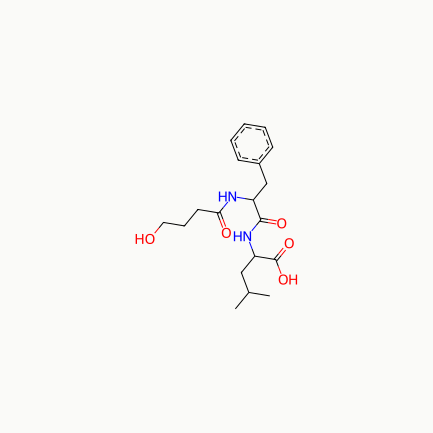 CC(C)CC(NC(=O)C(Cc1ccccc1)NC(=O)CCCO)C(=O)O